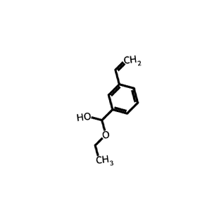 C=Cc1cccc(C(O)OCC)c1